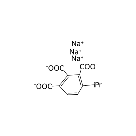 CC(C)c1ccc(C(=O)[O-])c(C(=O)[O-])c1C(=O)[O-].[Na+].[Na+].[Na+]